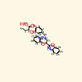 CCC(Oc1cccc(CNCC(Oc2ccccc2)c2nc3ccccc3o2)c1)C(=O)O